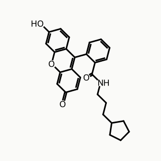 O=C(NCCCC1CCCC1)c1ccccc1-c1c2ccc(=O)cc-2oc2cc(O)ccc12